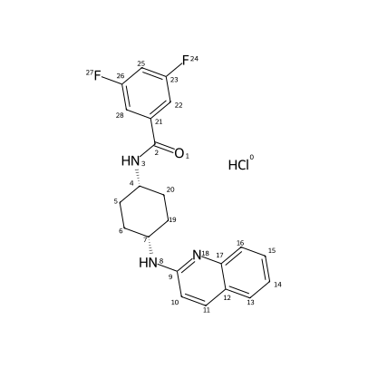 Cl.O=C(N[C@H]1CC[C@@H](Nc2ccc3ccccc3n2)CC1)c1cc(F)cc(F)c1